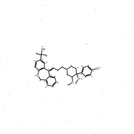 COC1CN(CCC=C2c3cc(C(C)(C)O)ccc3OCc3ncccc32)CCC1(OC)c1ccc(Cl)cc1